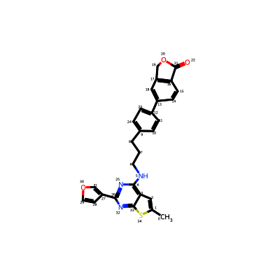 Cc1cc2c(NCCCc3ccc(-c4ccc5c(c4)COC5=O)cc3)nc(-c3ccoc3)nc2s1